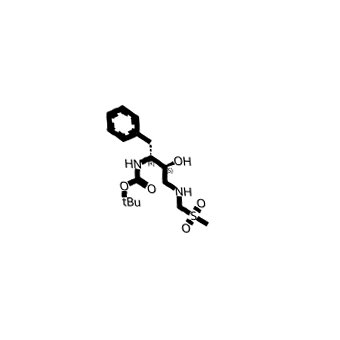 CC(C)(C)OC(=O)N[C@H](Cc1ccccc1)[C@@H](O)CNCS(C)(=O)=O